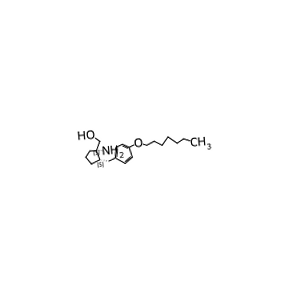 CCCCCCCOc1ccc(C[C@@H]2CCC[C@@]2(N)CO)cc1